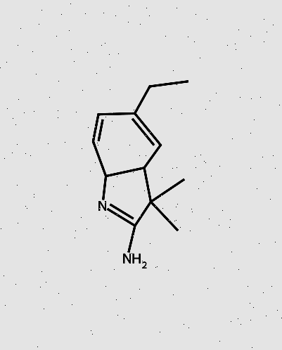 CCC1=CC2C(C=C1)N=C(N)C2(C)C